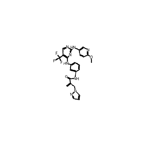 C=C(Cn1cccn1)C(=O)Nc1cccc(Nc2nc(Nc3ccc(OC)nc3)ncc2C(F)(F)F)c1